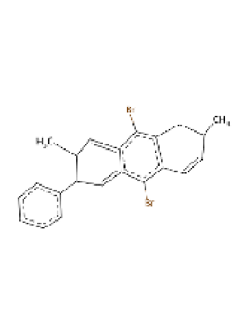 CC1C=Cc2c(c(Br)c3c(c2Br)=CC(c2ccccc2)C(C)C=3)C1